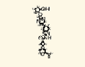 O=C(Nc1nc2ccc(-c3cnc(CO[C@H]4CCC[C@@H]4O)nc3)cc2s1)C1CC(N2CCOC(C3CC3)C2)C1